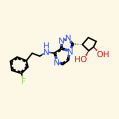 O[C@@H]1[C@H](O)CC[C@H]1c1nnc2c(NCCc3cccc(F)c3)nccn12